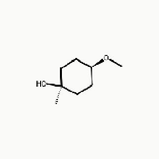 CO[C@H]1CC[C@@](C)(O)CC1